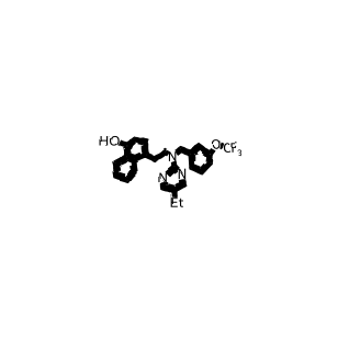 CCc1cnc(N(CCc2ccc(O)c3ccccc23)Cc2cccc(OC(F)(F)F)c2)nc1